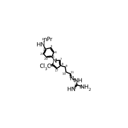 CCCNc1ccc(-n2cc(CC/C=N/NC(=N)N)cc2C(Cl)(Cl)Cl)cc1